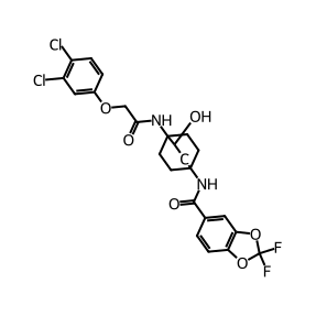 O=C(COc1ccc(Cl)c(Cl)c1)NC12CCC(NC(=O)c3ccc4c(c3)OC(F)(F)O4)(CC1)CC2O